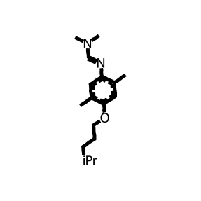 Cc1cc(OCCCC(C)C)c(C)cc1N=CN(C)C